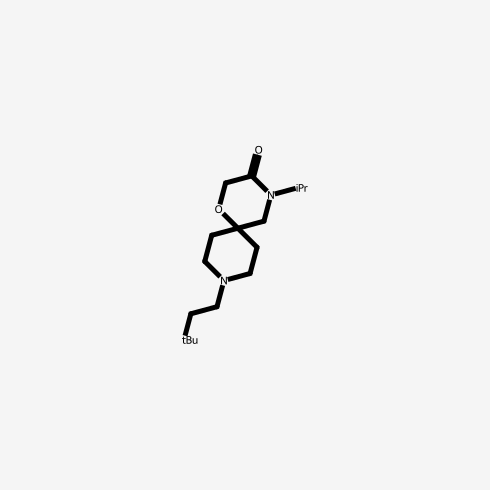 CC(C)N1CC2(CCN(CCC(C)(C)C)CC2)OCC1=O